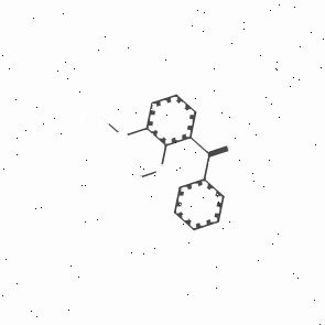 NSc1cccc(C(=O)c2ccccc2)c1SN